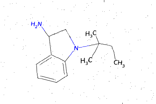 CCC(C)(C)N1CC(N)c2ccccc21